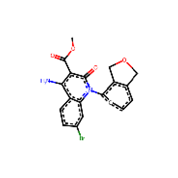 COC(=O)c1c(N)c2ccc(Br)cc2n(-c2cccc3c2COC3)c1=O